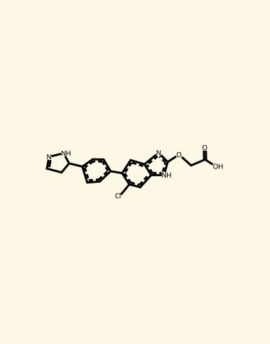 O=C(O)COc1nc2cc(-c3ccc(C4CC=NN4)cc3)c(Cl)cc2[nH]1